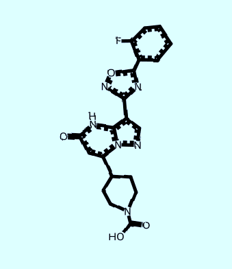 O=C(O)N1CCC(c2cc(=O)[nH]c3c(-c4noc(-c5ccccc5F)n4)cnn23)CC1